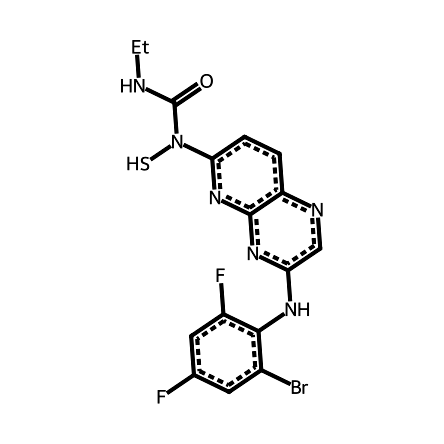 CCNC(=O)N(S)c1ccc2ncc(Nc3c(F)cc(F)cc3Br)nc2n1